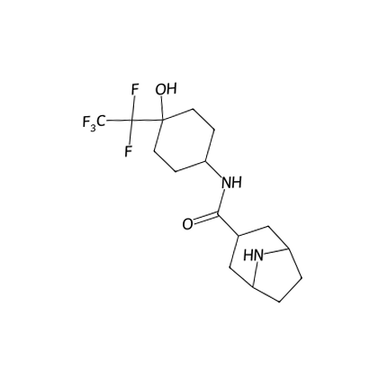 O=C(NC1CCC(O)(C(F)(F)C(F)(F)F)CC1)C1CC2CCC(C1)N2